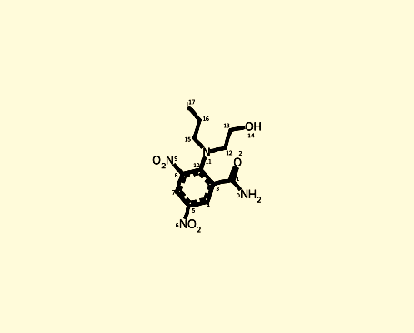 NC(=O)c1cc([N+](=O)[O-])cc([N+](=O)[O-])c1N(CCO)CCI